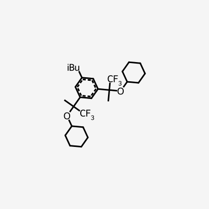 CCC(C)c1cc(C(C)(OC2CCCCC2)C(F)(F)F)cc(C(C)(OC2CCCCC2)C(F)(F)F)c1